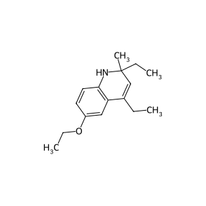 CCOc1ccc2c(c1)C(CC)=CC(C)(CC)N2